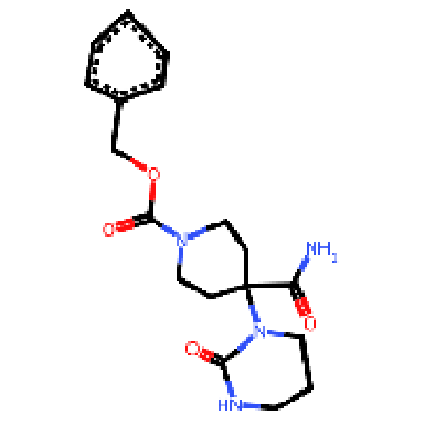 NC(=O)C1(N2CCCNC2=O)CCN(C(=O)OCc2ccccc2)CC1